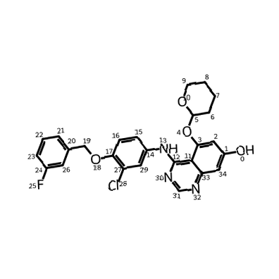 Oc1cc(OC2CCCCO2)c2c(Nc3ccc(OCc4cccc(F)c4)c(Cl)c3)ncnc2c1